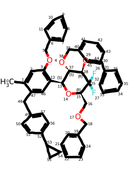 Cc1cc(OCc2ccccc2)c([C@@H]2O[C@H](COCc3ccccc3)C(F)(F)[C@H](OCc3ccccc3)[C@H]2OCc2ccccc2)cc1Cc1ccc(C2CC2)cc1